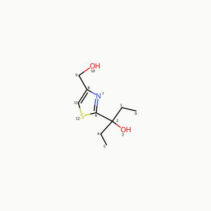 CCC(O)(CC)c1nc(CO)cs1